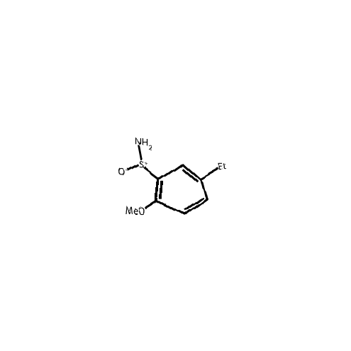 CCc1ccc(OC)c([S+](N)[O-])c1